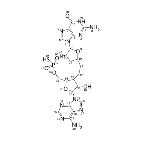 Nc1nc2c(ncn2C2OC3CCC4C(COP(=O)(S)O[C@H]2C3)OC(n2cnc3c(N)ncnc32)C4O)c(=O)[nH]1